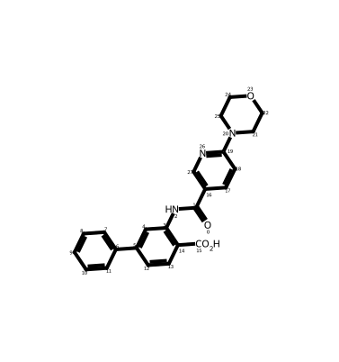 O=C(Nc1cc(-c2ccccc2)ccc1C(=O)O)c1ccc(N2CCOCC2)nc1